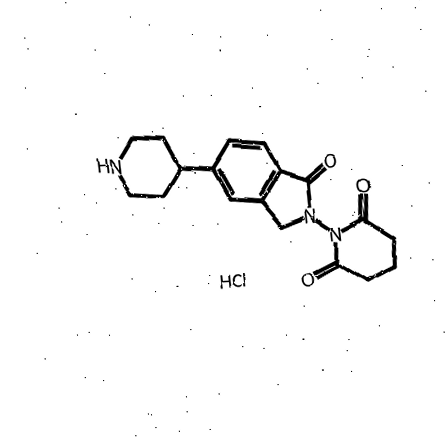 Cl.O=C1c2ccc(C3CCNCC3)cc2CN1N1C(=O)CCCC1=O